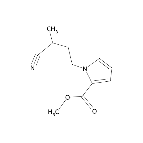 COC(=O)c1cccn1CCC(C)C#N